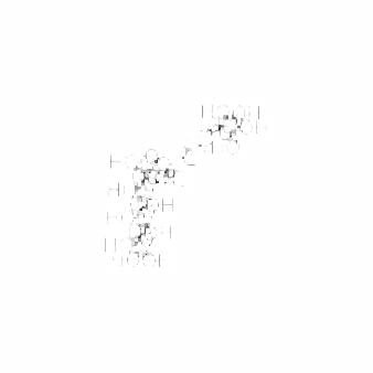 CC1(C)CC[C@]2(C(=O)O[C@@H]3OC[C@@H](O)[C@H](O[C@@H]4OC[C@@H](O)[C@H](O[C@@H]5OC[C@@H](O)[C@H](O[C@@H]6OC[C@@H](O)[C@H](O)[C@H]6O)[C@H]5O)[C@H]4O)[C@H]3O)CC[C@]3(C)C(=CCC4[C@@]5(C)CC[C@H](O[C@@H]6O[C@H](CO)[C@@H](O)[C@H](O)[C@H]6O)C(C)(C)C5CC[C@]43C)C2C1